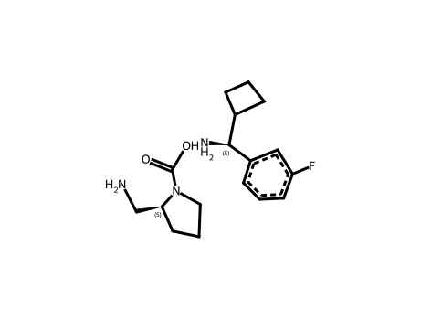 NC[C@@H]1CCCN1C(=O)O.N[C@H](c1cccc(F)c1)C1CCC1